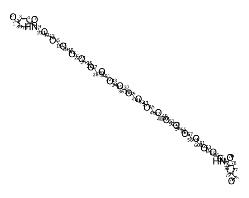 O=Cc1ccc(C(=O)NCCOCCOCCOCCOCCOCCOCCOCCOCCOCCOCCOCCOCCOCCOCCOCCOCCOCCOCCOCCNC(=O)c2ccc(C=O)cc2)cc1